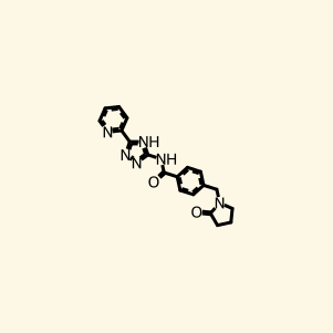 O=C(Nc1nnc(-c2ccccn2)[nH]1)c1ccc(CN2CCCC2=O)cc1